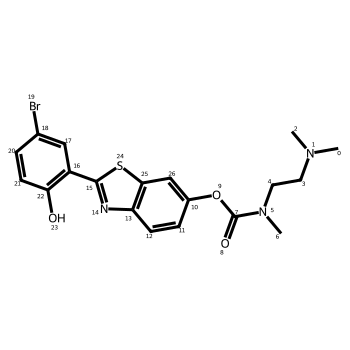 CN(C)CCN(C)C(=O)Oc1ccc2nc(-c3cc(Br)ccc3O)sc2c1